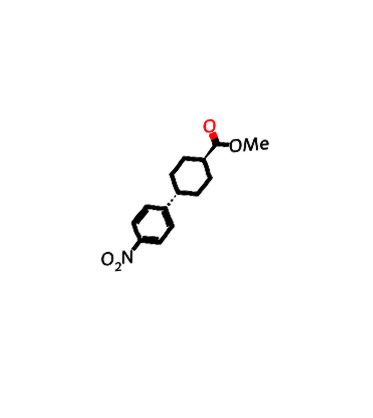 COC(=O)[C@H]1CC[C@H](c2ccc([N+](=O)[O-])cc2)CC1